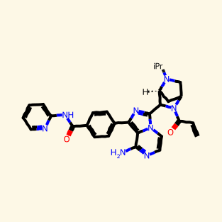 C=CC(=O)N1C2C[C@@H](C1c1nc(-c3ccc(C(=O)Nc4ccccn4)cc3)c3c(N)nccn13)N(C(C)C)C2